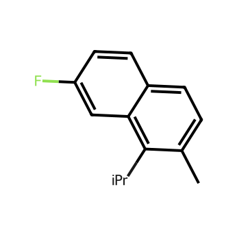 Cc1ccc2ccc(F)cc2c1C(C)C